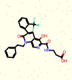 O=C(O)CCNC(=O)c1ncc2c(cc(-c3ccccc3C(F)(F)F)c(=O)n2CCc2ccccc2)c1O